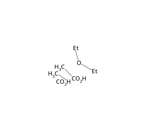 CC(=O)O.CC(=O)O.CCOCC